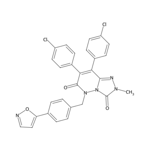 Cn1nc2c(-c3ccc(Cl)cc3)c(-c3ccc(Cl)cc3)c(=O)n(Cc3ccc(-c4ccno4)cc3)n2c1=O